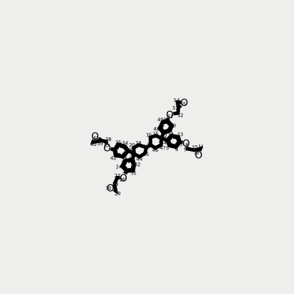 c1cc(C2(c3ccc(OCC4CO4)cc3)CCC(C3CCC(c4ccc(OCC5CO5)cc4)(c4ccc(OCC5CO5)cc4)CC3)CC2)ccc1OCC1CO1